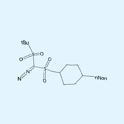 CCCCCCCCCC1CCC(S(=O)(=O)C(=[N+]=[N-])S(=O)(=O)C(C)(C)C)CC1